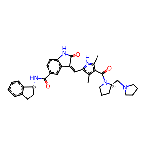 Cc1[nH]c(C=C2C(=O)Nc3ccc(C(=O)N[C@@H]4CCc5ccccc54)cc32)c(C)c1C(=O)N1CCC[C@@H]1CN1CCCC1